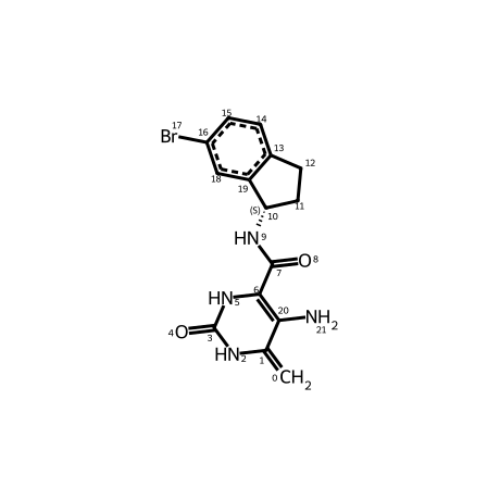 C=C1NC(=O)NC(C(=O)N[C@H]2CCc3ccc(Br)cc32)=C1N